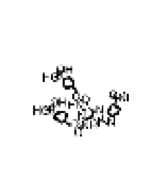 CNC(=O)c1ccc(N(C)Cc2cnc3nc(NC(=O)OCc4ccc(B(O)O)cc4)nc(NC(=O)OCc4ccc(B(O)O)cc4)c3n2)cc1